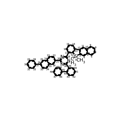 C[Si]1(C)c2cc3ccccc3cc2-c2cccc(-c3nc(-c4ccc5cc(-c6ccccc6)ccc5c4)nc(-c4ccccc4-c4ccccc4)n3)c21